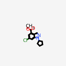 COC(=O)c1cc(Cl)cc2c1cnn2C1CCCC1